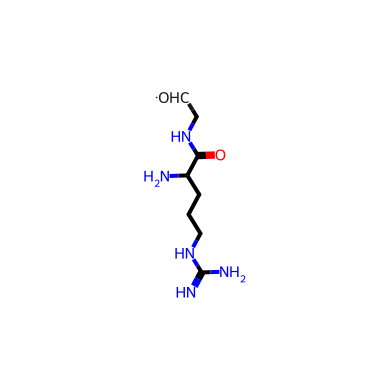 N=C(N)NCCCC(N)C(=O)NC[C]=O